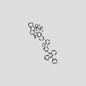 CC1(C)c2ccccc2-c2ccc3sc4c5ccc(-c6cccc7c6oc6ccc(-c8c9ccccc9c(-c9ccccc9)c9ccccc89)cc67)cc5ccc4c3c21